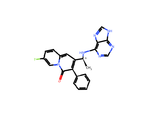 C[C@H](Nc1ncnc2[nH]cnc12)c1cc2ccc(F)cn2c(=O)c1-c1ccccc1